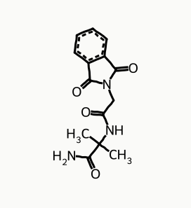 CC(C)(NC(=O)CN1C(=O)c2ccccc2C1=O)C(N)=O